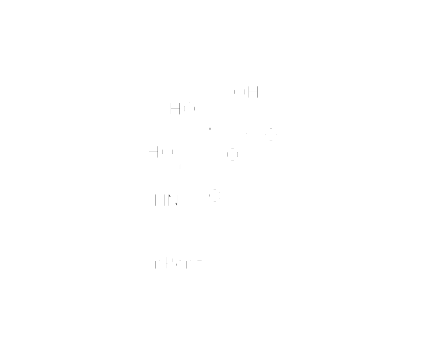 CCCCCC=CNC(=O)[C@H](O)[C@H]1OC(=O)[C@@H](O)[C@H]1O